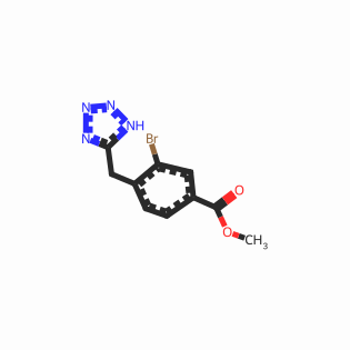 COC(=O)c1ccc(Cc2nnn[nH]2)c(Br)c1